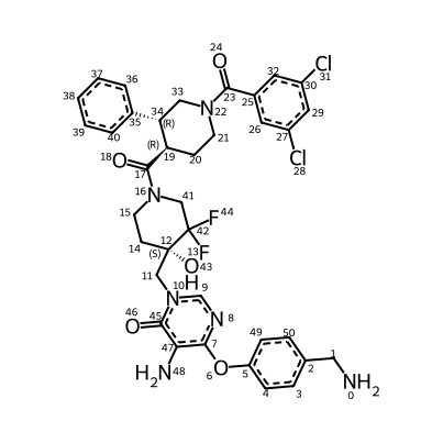 NCc1ccc(Oc2ncn(C[C@@]3(O)CCN(C(=O)[C@@H]4CCN(C(=O)c5cc(Cl)cc(Cl)c5)C[C@H]4c4ccccc4)CC3(F)F)c(=O)c2N)cc1